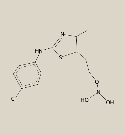 CC1N=C(Nc2ccc(Cl)cc2)SC1CCON(O)O